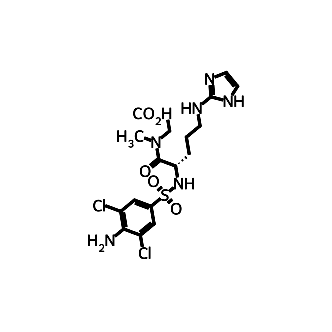 CN(CC(=O)O)C(=O)[C@H](CCCNc1ncc[nH]1)NS(=O)(=O)c1cc(Cl)c(N)c(Cl)c1